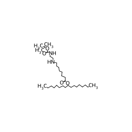 CCCCCCCCC(CCCCCCCC)OC(=O)CCCCCCCNCCNC(=O)OC(C)(C)C